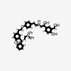 CC(C)N(CC[C@H](c1ccccc1)c1cc(CCOc2ccc(CCNC[C@@H](O)c3ccc(O)c(CO)c3)cc2)ccc1O)C(C)C